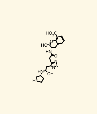 O=C(CC1=NN=NC1CC(O)N[C@H]1CCNC1)N[C@H]1Cc2cccc(C(=O)O)c2OB1O